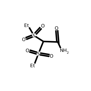 CCS(=O)(=O)C(C(N)=O)S(=O)(=O)CC